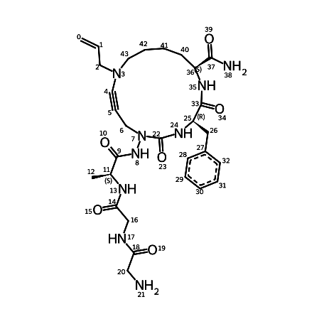 C=CCN1C#CCN(NC(=O)[C@H](C)NC(=O)CNC(=O)CN)C(=O)N[C@H](Cc2ccccc2)C(=O)N[C@H](C(N)=O)CCCC1